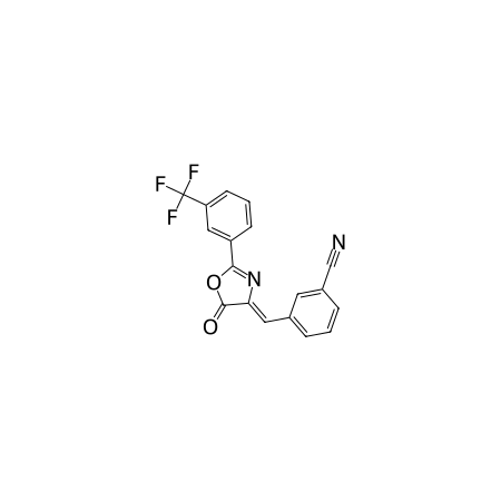 N#Cc1cccc(/C=C2\N=C(c3cccc(C(F)(F)F)c3)OC2=O)c1